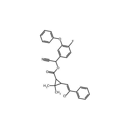 CC1(C)C(/C=C(\Cl)c2ccccc2)C1C(=O)OC(C#N)c1ccc(F)c(Oc2ccccc2)c1